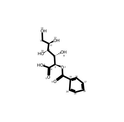 O=C(O[C@@H](C(=O)O)[C@@H](O)[C@H](O)[C@H](O)CO)c1ccccc1